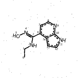 CCN/C(=N\O)c1ccnc2[nH]ccc12